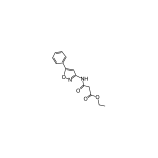 CCOC(=O)CC(=O)Nc1cc(-c2ccccc2)on1